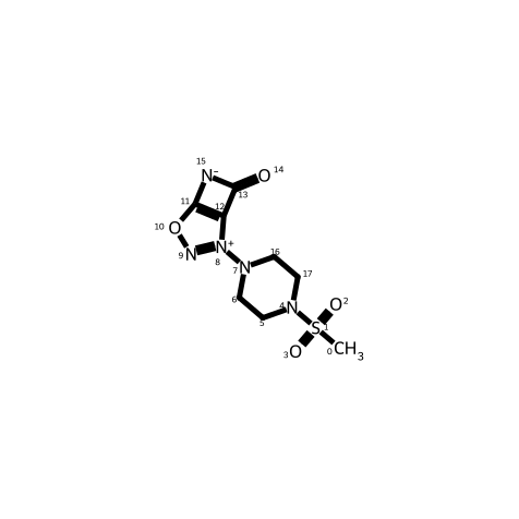 CS(=O)(=O)N1CCN([n+]2noc3c2C(=O)[N-]3)CC1